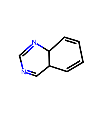 C1=CC2C=NC=NC2C=C1